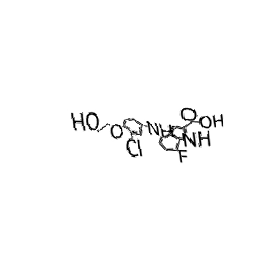 O=C(O)c1cc2c(Nc3ccc(OCCO)c(Cl)c3)ccc(F)c2[nH]1